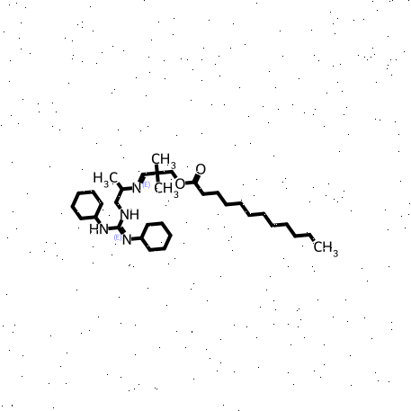 CCCCCCCCCCCC(=O)OCC(C)(C)/C=N/C(C)CN/C(=N\C1CCCCC1)NC1CCCCC1